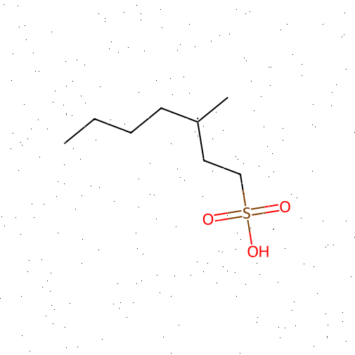 CCCC[C](C)CCS(=O)(=O)O